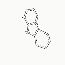 [c]1cccn2c1nc1ccccc12